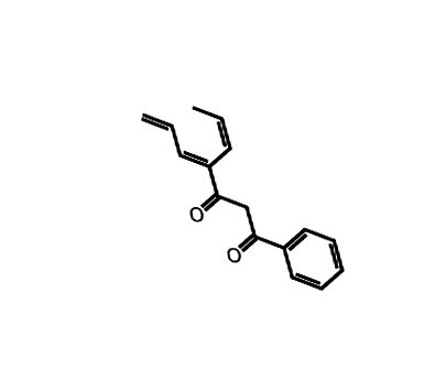 C=C/C=C(\C=C/C)C(=O)CC(=O)c1ccccc1